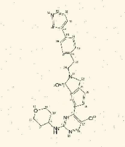 O=C1c2cc(-c3nc(NC4CCOCC4)ncc3Cl)ccc2CN1C[CH]c1ccc(-c2cccnc2)cc1